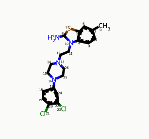 Cc1ccc2c(c1)SC(N)N2CCN1CCN(c2ccc(Cl)c(Cl)c2)CC1